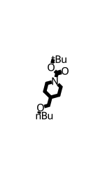 CCCCOCC1CCN(C(=O)OC(C)(C)C)CC1